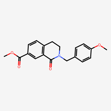 COC(=O)c1ccc2c(c1)C(=O)N(Cc1ccc(OC)cc1)CC2